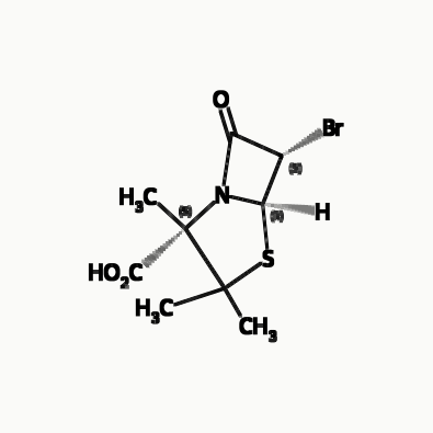 CC1(C)S[C@@H]2[C@@H](Br)C(=O)N2[C@@]1(C)C(=O)O